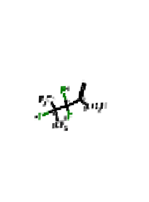 C=C(C(=O)O)C(F)(F)C(F)(C(F)(F)F)C(F)(F)F